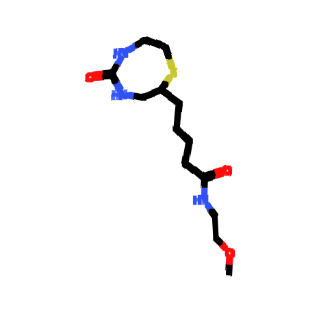 COCCNC(=O)CCCCC1CNC(=O)NCCS1